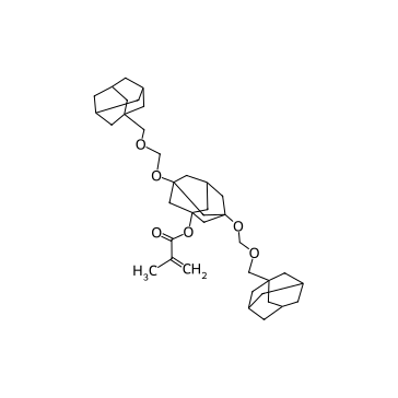 C=C(C)C(=O)OC12CC3CC(OCOCC45CC6CC(CC(C6)C4)C5)(CC(OCOCC45CC6CC(CC(C6)C4)C5)(C3)C1)C2